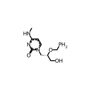 CNc1ccn(C[C@@H](CO)OCP)c(=O)n1